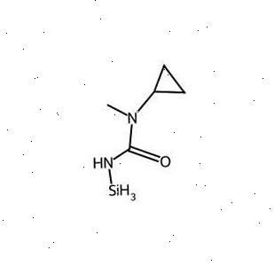 CN(C(=O)N[SiH3])C1CC1